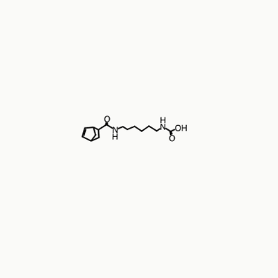 O=C(O)NCCCCCCNC(=O)C1CC2C=CC1C2